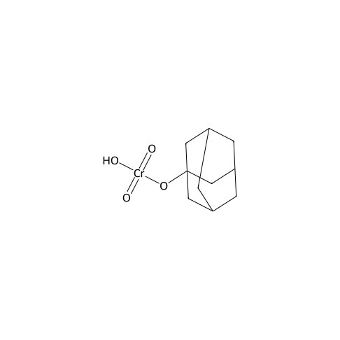 [O]=[Cr](=[O])([OH])[O]C12CC3CC(CC(C3)C1)C2